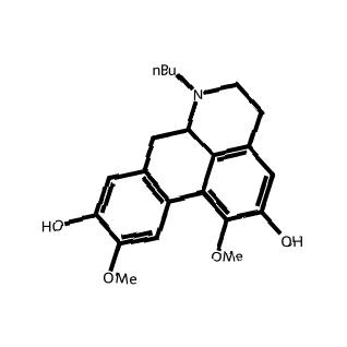 CCCCN1CCc2cc(O)c(OC)c3c2C1Cc1cc(O)c(OC)cc1-3